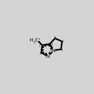 Cc1[c]nn2c1CCC2